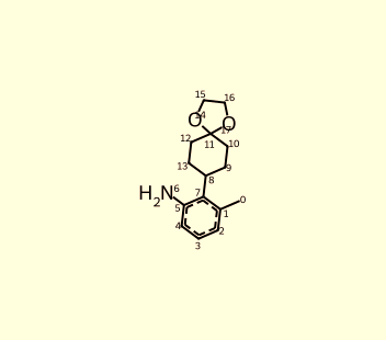 Cc1cccc(N)c1C1CCC2(CC1)OCCO2